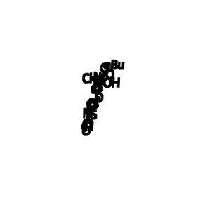 CCCCOC(=O)c1nc(Cl)c2ccc(Oc3ccc4nc(N5CCOCC5)sc4c3)cc2c1O